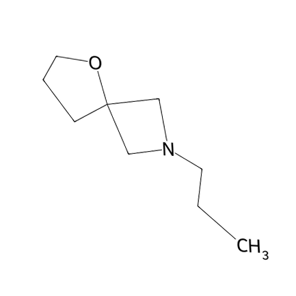 CCCN1CC2(CCCO2)C1